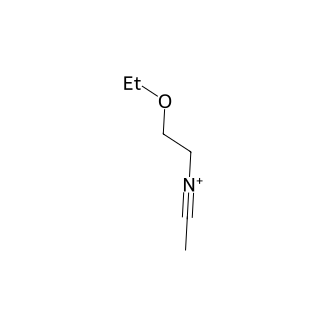 CC#[N+]CCOCC